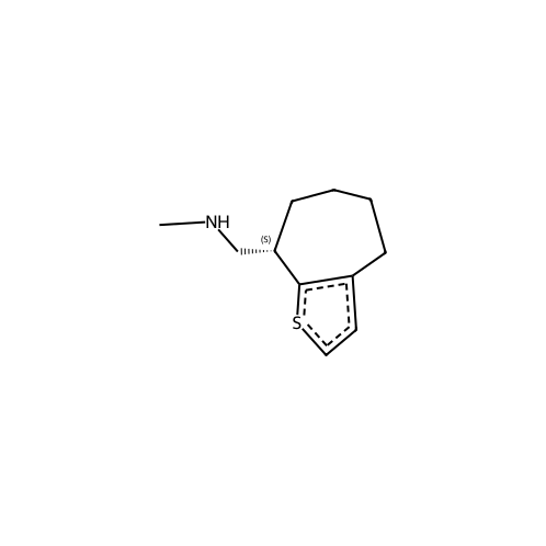 CNC[C@@H]1CCCCc2ccsc21